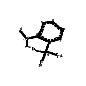 CN(C)c1cc[c]cc1C(F)(F)F